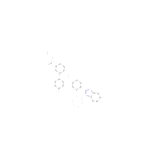 Cl.O=C(O)c1ccc2c(c1)nc(-c1ccc(OCc3ccc(C(=O)NCCO)cc3-c3ccc(Cl)cc3)cc1)n2C1CCCCC1